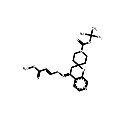 COC(=O)/C=C/O/N=C1\CC2(CCN(C(=O)OC(C)(C)C)CC2)Oc2cnccc21